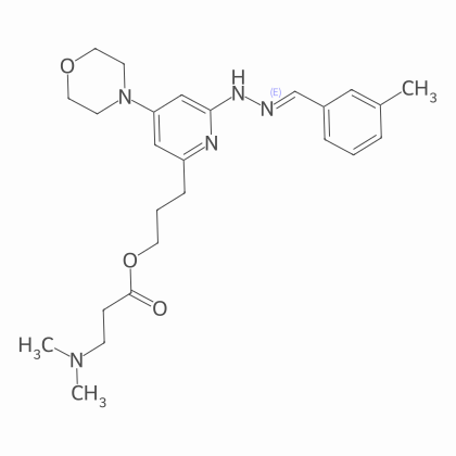 Cc1cccc(/C=N/Nc2cc(N3CCOCC3)cc(CCCOC(=O)CCN(C)C)n2)c1